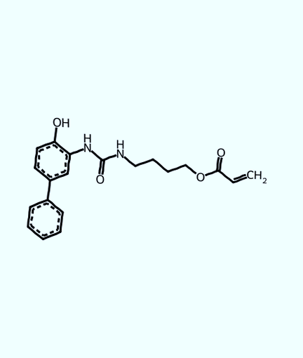 C=CC(=O)OCCCCNC(=O)Nc1cc(-c2ccccc2)ccc1O